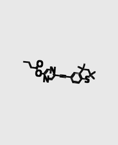 CCCC(=O)Oc1cnc(C#Cc2ccc3c(c2)C(C)(C)CC(C)(C)S3)cn1